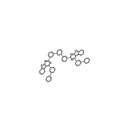 c1ccc(-c2cccc(-c3nc(-c4cccc(-c5cccc(-c6cccc(-c7nc(-c8cccc(-c9ccccc9)c8)c8c(n7)sc7ccccc78)c6)c5)c4)nc4oc5ccccc5c34)c2)cc1